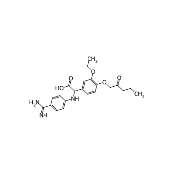 CCCC(=O)COc1ccc(C(Nc2ccc(C(=N)N)cc2)C(=O)O)cc1OCC